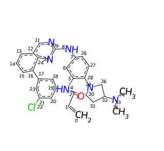 C=CC(=O)Nc1cc(Nc2ncc3cccc(-c4cccc(Cl)c4)c3n2)ccc1N1CCC(N(C)C)C1